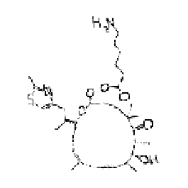 C/C1=C/C[C@@H](/C(C)=C/c2csc(C)n2)OC(=O)C[C@H](OC(=O)CCCCCN)C(C)(C)C(=O)[C@H](C)[C@@H](O)[C@@H](C)/C=C\C1